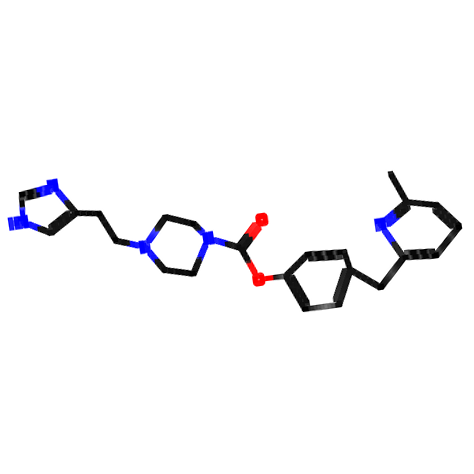 Cc1cccc(Cc2ccc(OC(=O)N3CCN(CCc4c[nH]cn4)CC3)cc2)n1